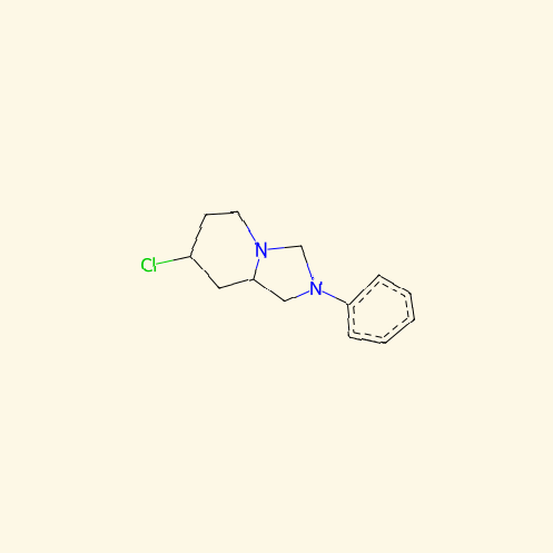 ClC1CCN2CN(c3ccccc3)CC2C1